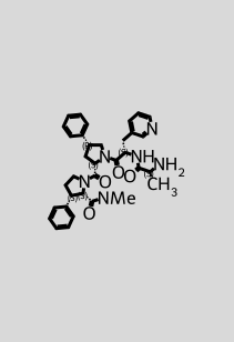 CNC(=O)[C@@H]1[C@H](c2ccccc2)CCN1C(=O)[C@@H]1C[C@H](c2ccccc2)CN1C(=O)[C@H](Cc1cccnc1)NC(=O)[C@H](C)N